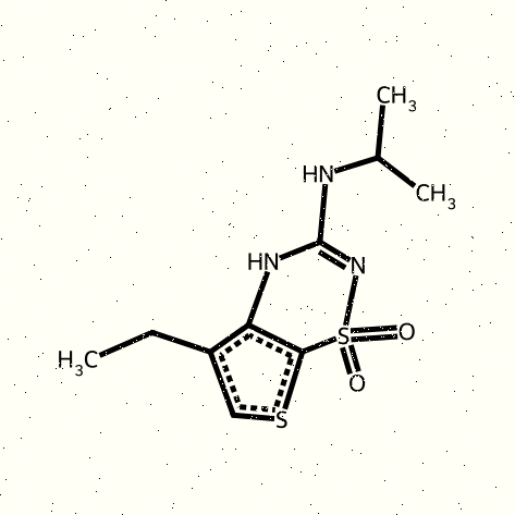 CCc1csc2c1NC(NC(C)C)=NS2(=O)=O